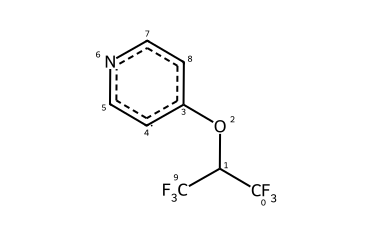 FC(F)(F)C(Oc1[c]cncc1)C(F)(F)F